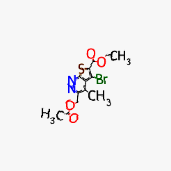 CCOC(=O)c1sc2nnc(COC(C)=O)c(C)c2c1Br